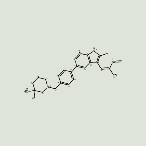 C=NC(C#N)=Cc1c(C)[nH]c2ncc(-c3ccc(CN4CCCC(C)(O)C4)cc3)cc12